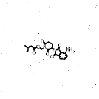 CC(C)CC(=O)OCN1C(=O)CCC(N2C(=O)c3cccc(N)c3C2=O)C1=O